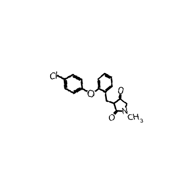 CN1CC(=O)C(Cc2ccccc2Oc2ccc(Cl)cc2)C1=O